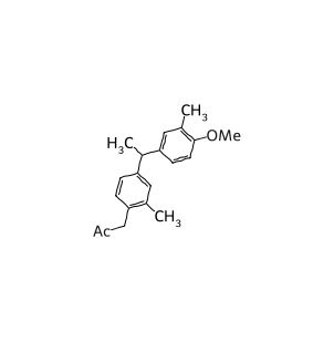 COc1ccc(C(C)c2ccc(CC(C)=O)c(C)c2)cc1C